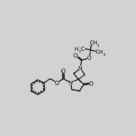 CC(C)(C)OC(=O)N1CC2(C1)C(=O)CCN2C(=O)OCc1ccccc1